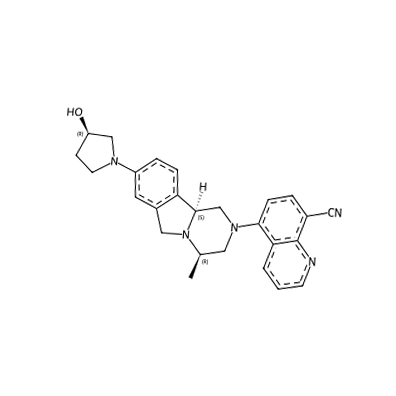 C[C@@H]1CN(c2ccc(C#N)c3ncccc23)C[C@@H]2c3ccc(N4CC[C@@H](O)C4)cc3CN12